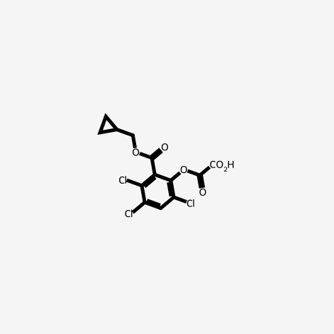 O=C(O)C(=O)Oc1c(Cl)cc(Cl)c(Cl)c1C(=O)OCC1CC1